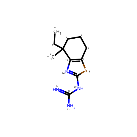 CCC1(C)CCCc2sc(NC(=N)N)nc21